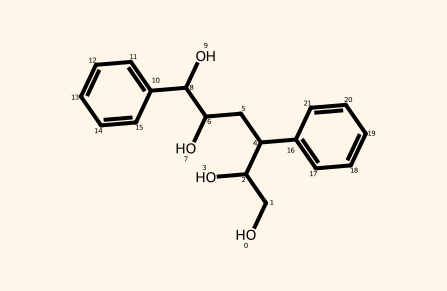 OCC(O)C(CC(O)C(O)c1ccccc1)c1ccccc1